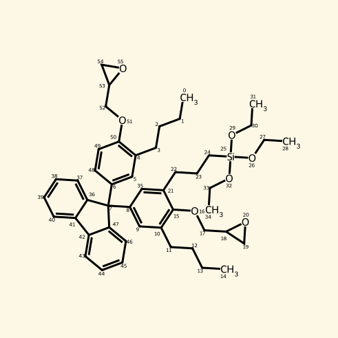 CCCCc1cc(C2(c3cc(CCCC)c(OCC4CO4)c(CCC[Si](OCC)(OCC)OCC)c3)c3ccccc3-c3ccccc32)ccc1OCC1CO1